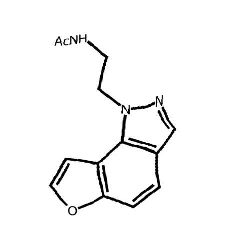 CC(=O)NCCn1ncc2ccc3occc3c21